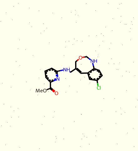 COC(=O)c1cccc(NC/C2=C/c3cc(Cl)ccc3NCOC2)n1